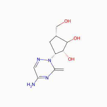 C=C1N=C(N)C=NN1[C@@H]1C[C@H](CO)C(O)[C@@H]1O